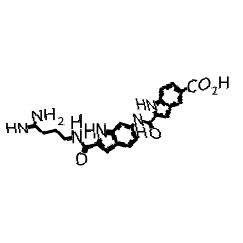 N=C(N)CCCNC(=O)c1cc2ccc(NC(=O)c3cc4cc(C(=O)O)ccc4[nH]3)cc2[nH]1